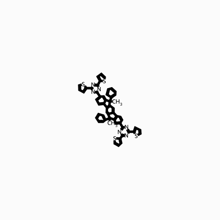 CC1(c2ccccc2)c2cc(-c3nc(-c4cccs4)nc(-c4cccs4)n3)ccc2-c2cc3c(cc21)-c1ccc(-c2nc(-c4cccs4)nc(-c4cccs4)n2)cc1C3(C)c1ccccc1